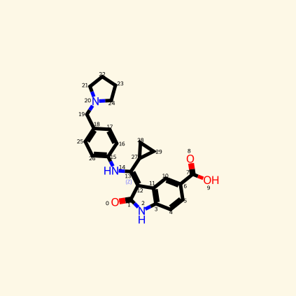 O=C1Nc2ccc(C(=O)O)cc2/C1=C(/Nc1ccc(CN2CCCC2)cc1)C1CC1